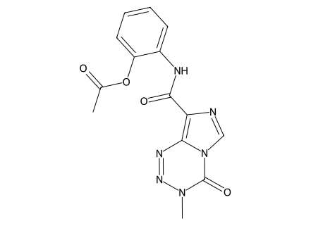 CC(=O)Oc1ccccc1NC(=O)c1ncn2c(=O)n(C)nnc12